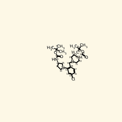 CC(C)(C)OC(=O)N[C@@H]1CCN(c2cc(Cl)ccc2CN2CCNCC2)C1.CC(C)(C)OC=O